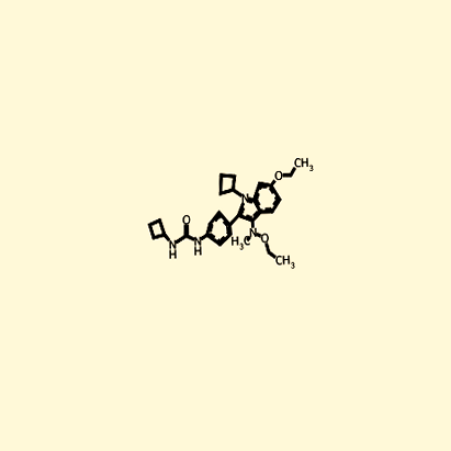 CCOc1ccc2c(N(C)OCC)c(-c3ccc(NC(=O)NC4CCC4)cc3)n(C3CCC3)c2c1